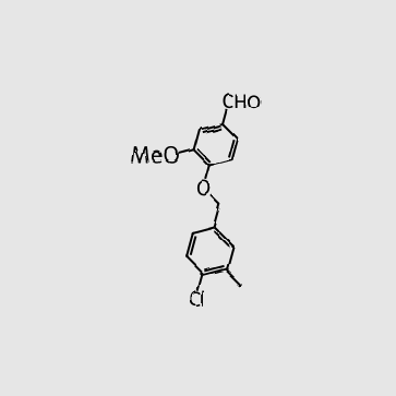 COc1cc(C=O)ccc1OCc1ccc(Cl)c(C)c1